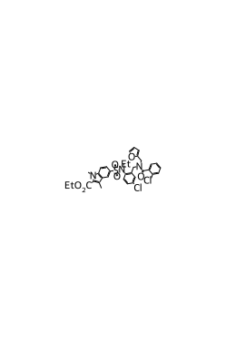 CCOC(=O)c1c(C)c2cc(S(=O)(=O)N(CC)c3ccc(Cl)cc3CN(Cc3ccco3)C(=O)c3ccccc3Cl)ccc2n1C